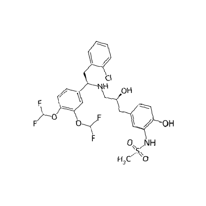 CS(=O)(=O)Nc1cc(C[C@H](O)CN[C@H](Cc2ccccc2Cl)c2ccc(OC(F)F)c(OC(F)F)c2)ccc1O